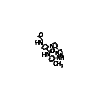 Cc1ccc(NC(=O)c2ccc(NCC3CO3)cc2)cc1Nc1nccc(-c2cccnc2)n1